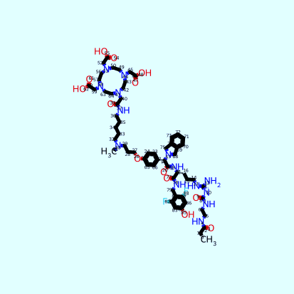 CCC(=O)NCCNC(=O)/N=C(/N)NCCC[C@@H](NC(=O)[C@H](c1ccc(OCCCN(C)CCCCCNC(=O)CN2CCN(CC(=O)O)CCN(CC(=O)O)CCN(CC(=O)O)CC2)cc1)N1Cc2ccccc2C1)C(=O)NCc1c(F)cc(O)cc1F